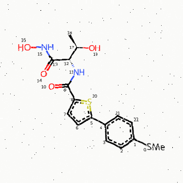 CSc1ccc(-c2ccc(C(=O)N[C@H](C(=O)NO)[C@@H](C)O)s2)cc1